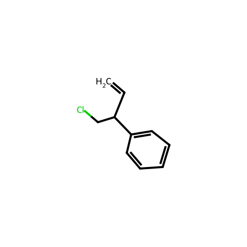 C=CC(CCl)c1ccccc1